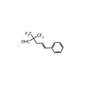 O=CC(C/C=C/c1ccccc1)(C(F)(F)F)C(F)(F)F